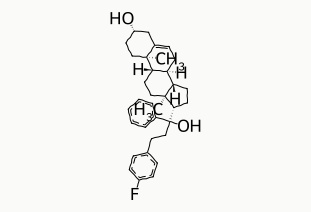 C[C@]12CC[C@H]3[C@@H](CC=C4C[C@@H](O)CC[C@@]43C)[C@@H]1CC[C@@H]2C(O)(CCc1ccc(F)cc1)c1ccccc1